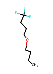 CCCCOCCCC(F)(F)F